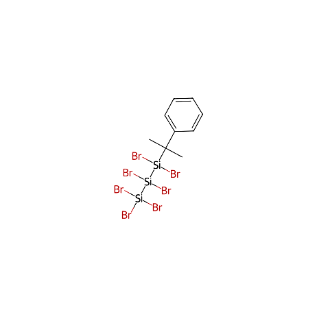 CC(C)(c1ccccc1)[Si](Br)(Br)[Si](Br)(Br)[Si](Br)(Br)Br